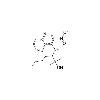 CCCCC(Nc1c([N+](=O)[O-])cnc2ccccc12)C(C)(C)O